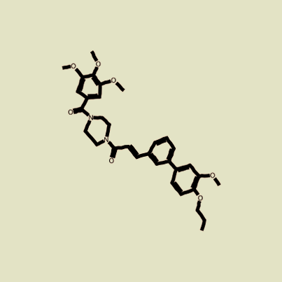 CCCOc1ccc(-c2cccc(C=CC(=O)N3CCN(C(=O)c4cc(OC)c(OC)c(OC)c4)CC3)c2)cc1OC